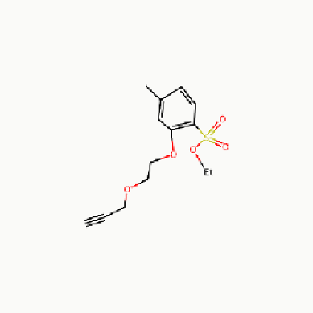 C#CCOCCOc1cc(C)ccc1S(=O)(=O)OCC